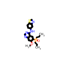 CCCP(=O)(CCC)c1cc2c(Nc3ccc4scnc4c3)ncnc2cc1OC